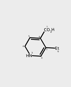 CCC1=CNCC=C1C(=O)O